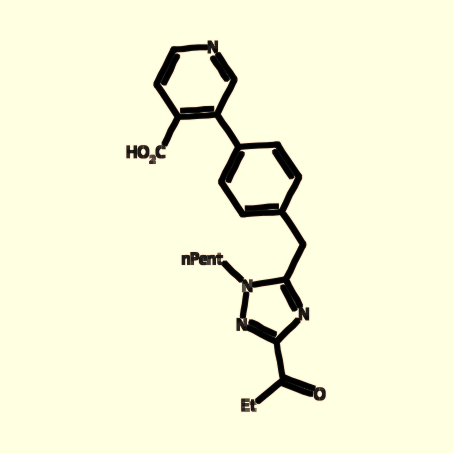 CCCCCn1nc(C(=O)CC)nc1Cc1ccc(-c2cnccc2C(=O)O)cc1